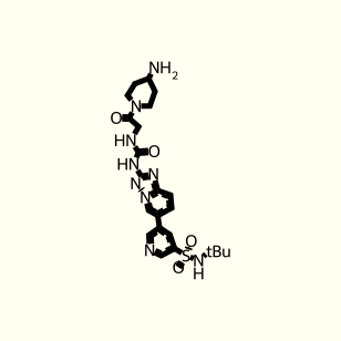 CC(C)(C)NS(=O)(=O)c1cncc(-c2ccc3nc(NC(=O)NCC(=O)N4CCC(N)CC4)nn3c2)c1